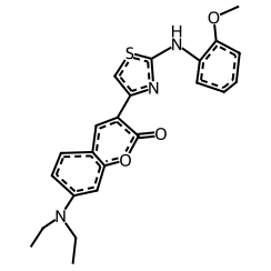 CCN(CC)c1ccc2cc(-c3csc(Nc4ccccc4OC)n3)c(=O)oc2c1